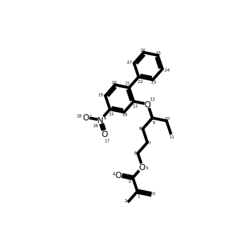 C=C(C)C(=O)OCCCC(CC)Oc1cc([N+](=O)[O-])ccc1-c1ccccc1